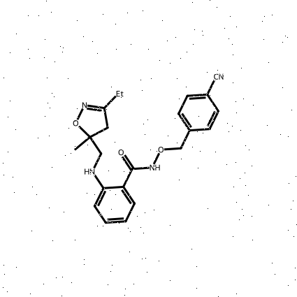 CCC1=NOC(C)(CNc2ccccc2C(=O)NOCc2ccc(C#N)cc2)C1